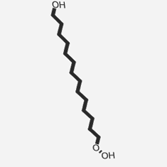 OCCCCCCCCCCCCCCOO